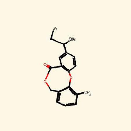 CC(=O)OC(CC(C)C)c1ccc2c(c1)C(=O)OCc1cccc(C)c1O2